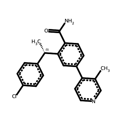 Cc1cnccc1-c1ccc(C(N)=O)c([C@@H](C)c2ccc(Cl)cc2)c1